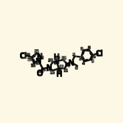 CN(Cc1ccc(Cl)cc1)[C@H]1C[C@@H]2CN(C(=O)n3cc(Cl)cn3)C[C@@H]2C1